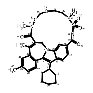 CC1=C2Cn3c(c(C4CCCCC4)c4ccc(cc43)C(=O)NS(=O)(=O)N(C)CCOCCN(C)C2=O)-c2ccc(C)cc21